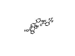 O=C(Nc1cccc(-c2ccnc3c(-c4cccn4C(=O)O)cnn23)c1)c1cccc(C(F)(F)F)c1